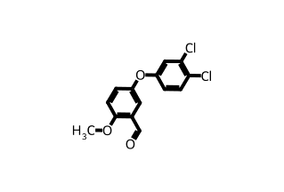 COc1ccc(Oc2ccc(Cl)c(Cl)c2)cc1C=O